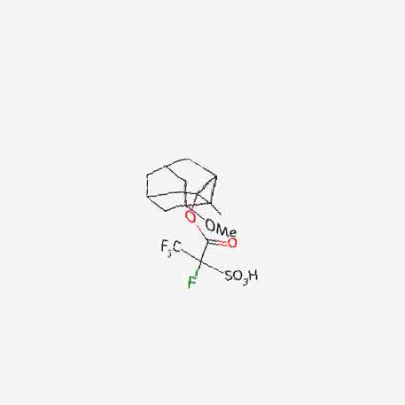 COC12CC3CC(C1)C(C)(OC(=O)C(F)(C(F)(F)F)S(=O)(=O)O)C(C3)C2